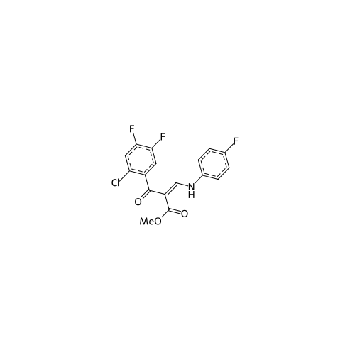 COC(=O)/C(=C\Nc1ccc(F)cc1)C(=O)c1cc(F)c(F)cc1Cl